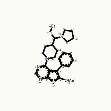 CCOC(C1CCN(c2ncnc3sc(OC)c(-c4ccccc4)c23)CC1)N1CCCC1